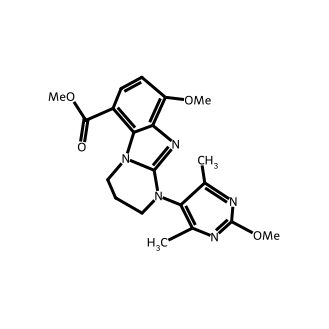 COC(=O)c1ccc(OC)c2nc3n(c12)CCCN3c1c(C)nc(OC)nc1C